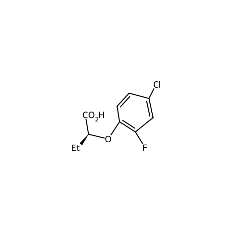 CC[C@H](Oc1ccc(Cl)cc1F)C(=O)O